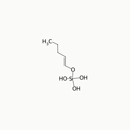 CCCC=CO[Si](O)(O)O